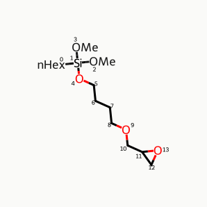 CCCCCC[Si](OC)(OC)OCCCCOCC1CO1